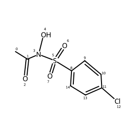 CC(=O)N(O)S(=O)(=O)c1ccc(Cl)cc1